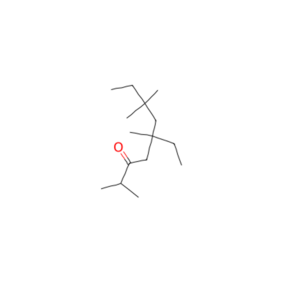 CCC(C)(C)CC(C)(CC)CC(=O)C(C)C